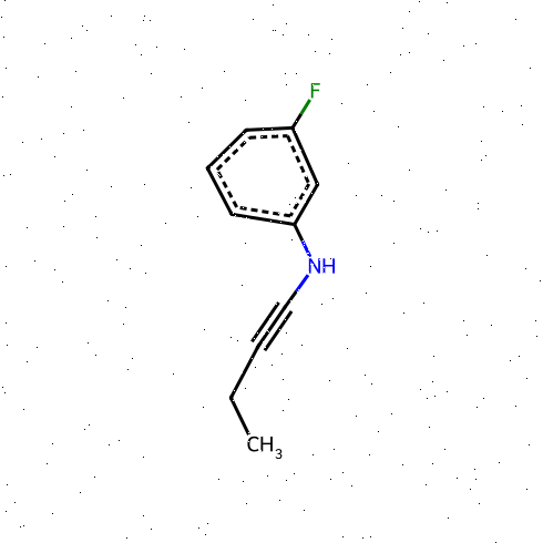 CCC#CNc1cccc(F)c1